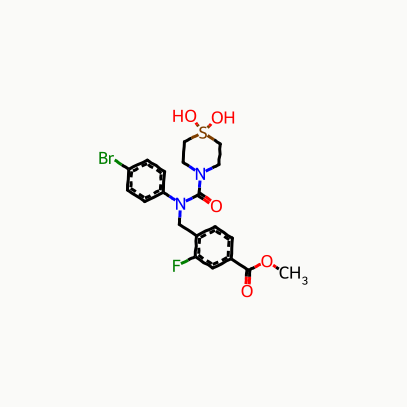 COC(=O)c1ccc(CN(C(=O)N2CCS(O)(O)CC2)c2ccc(Br)cc2)c(F)c1